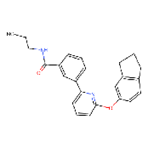 N#CCCNC(=O)c1cccc(-c2cccc(Oc3ccc4c(c3)CCC4)n2)c1